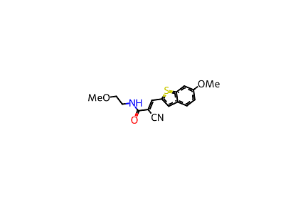 COCCNC(=O)/C(C#N)=C/c1cc2ccc(OC)cc2s1